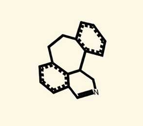 C1=NCC2c3ccccc3CCc3cccc1c32